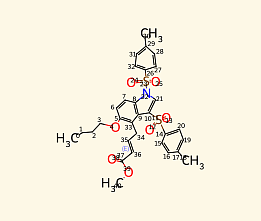 CCCCOc1ccc2c(c(S(=O)(=O)c3ccc(C)cc3)cn2S(=O)(=O)c2ccc(C)cc2)c1C/C=C/C(=O)OC